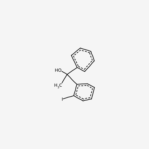 CC(O)(c1ccccc1)c1ccccc1I